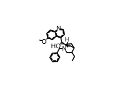 CCC1C[N+]2(Cc3ccccc3)CCC1C[C@H]2[C@H](O)c1ccnc2ccc(OC)cc12